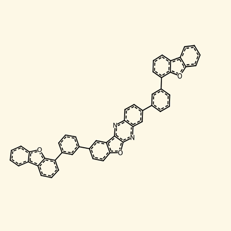 c1cc(-c2ccc3nc4c(nc3c2)oc2ccc(-c3cccc(-c5cccc6c5oc5ccccc56)c3)cc24)cc(-c2cccc3c2oc2ccccc23)c1